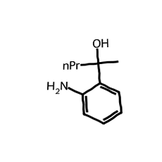 CCCC(C)(O)c1ccccc1N